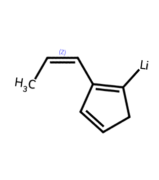 [Li][C]1=C(/C=C\C)C=CC1